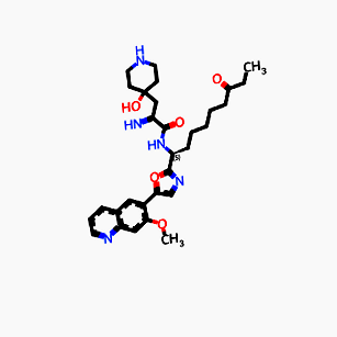 CCC(=O)CCCCC[C@H](NC(=O)C(=N)CC1(O)CCNCC1)c1ncc(-c2cc3cccnc3cc2OC)o1